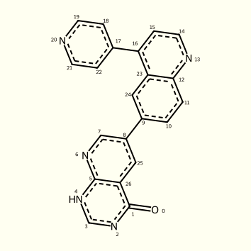 O=c1nc[nH]c2ncc(-c3ccc4nccc(-c5ccncc5)c4c3)cc12